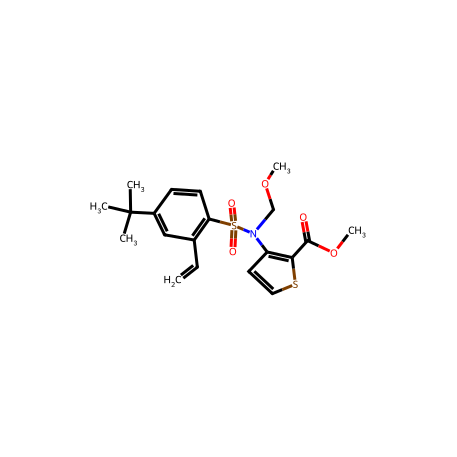 C=Cc1cc(C(C)(C)C)ccc1S(=O)(=O)N(COC)c1ccsc1C(=O)OC